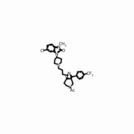 CC(=O)N1CCc2c(c(-c3ccc(C(F)(F)F)cc3)nn2CCCN2CCC(n3c(=O)n(C)c4ccc(Cl)cc43)CC2)C1